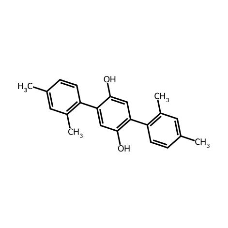 Cc1ccc(-c2cc(O)c(-c3ccc(C)cc3C)cc2O)c(C)c1